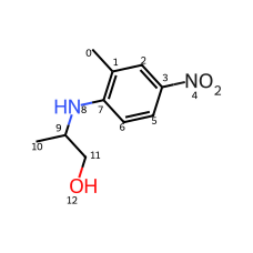 Cc1cc([N+](=O)[O-])ccc1NC(C)CO